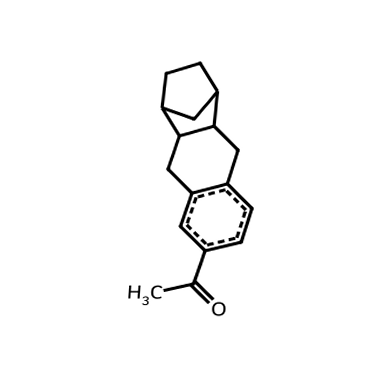 CC(=O)c1ccc2c(c1)CC1C3CCC(C3)C1C2